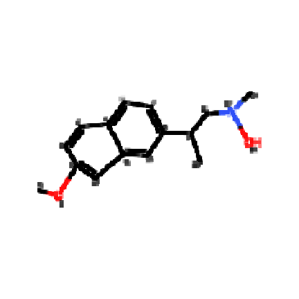 COc1ccc2ccc(C(C)CN(C)O)cc2c1